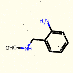 Nc1ccccc1CNC=O